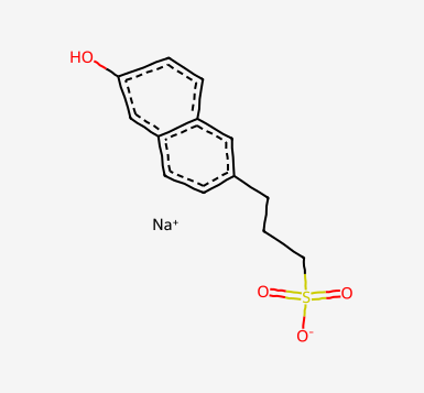 O=S(=O)([O-])CCCc1ccc2cc(O)ccc2c1.[Na+]